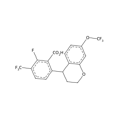 O=C(O)c1c(C2CCOc3cc(OC(F)(F)F)ccc32)ccc(C(F)(F)F)c1F